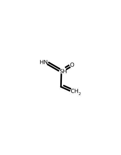 C=C[SH](=N)=O